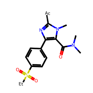 CCS(=O)(=O)c1ccc(-c2nc(C(C)=O)n(C)c2C(=O)N(C)C)cc1